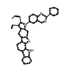 C=Cc1c(/C=C\C)n(-c2ccc3nc(-c4ccccc4)ncc3c2)c2cc3sc4c(ccc5c6ccccc6[nH]c54)c3cc12